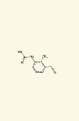 Cc1c(C=O)cccc1NC(=O)O